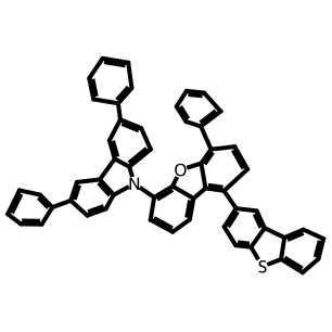 c1ccc(-c2ccc3c(c2)c2cc(-c4ccccc4)ccc2n3-c2cccc3c2oc2c(-c4ccccc4)ccc(-c4ccc5sc6ccccc6c5c4)c23)cc1